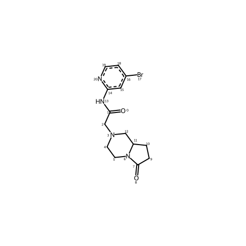 O=C(CN1CCN2C(=O)CCC2C1)Nc1cc(Br)ccn1